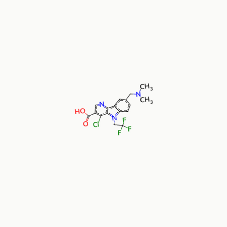 CN(C)Cc1ccc2c(c1)c1ncc(C(=O)O)c(Cl)c1n2CC(F)(F)F